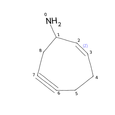 NC1/C=C\CCC#CC1